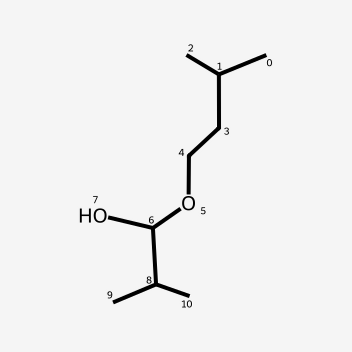 CC(C)CCOC(O)C(C)C